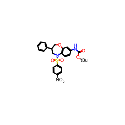 CC(C)(C)OC(=O)Nc1ccc2c(c1)OCC(c1ccccc1)CN2S(=O)(=O)c1ccc([N+](=O)[O-])cc1